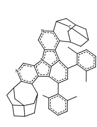 Cc1cccc(C)c1-c1cc(-c2c(C)cccc2C)c2c3c4c(ncc3n3c5cnc6c(c5c1c23)C1CC2CC(CC6C2)C1)C1CC2CC3CC4CC23C1